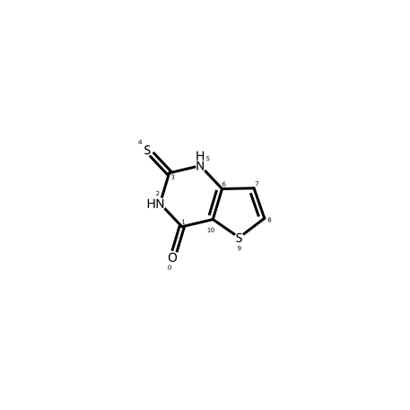 O=c1[nH]c(=S)[nH]c2ccsc12